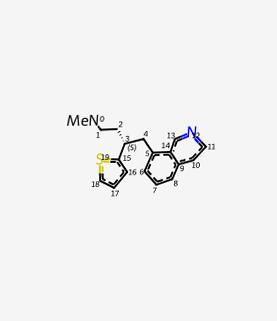 CNCC[C@H](Cc1cccc2ccncc12)c1cccs1